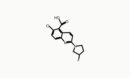 O=C(O)c1c(Cl)ccc2nc(N3CCC(F)C3)ccc12